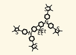 CCC1(CC)c2cc(N(c3ccc(-c4sc(C)c(C)c4C)cc3)c3ccc(-c4sc(C)c(C)c4C)cc3)ccc2-c2ccc(N(c3ccc(-c4sc(C)c(C)c4C)cc3)c3ccc(-c4sc(C)c(C)c4C)cc3)cc21